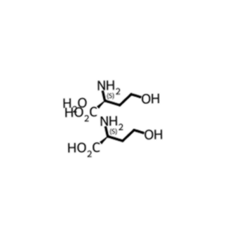 N[C@@H](CCO)C(=O)O.N[C@@H](CCO)C(=O)O.O